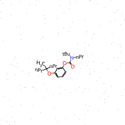 CCCN(C(=O)Oc1cccc(OC(C)(CCC)CCC)c1)C(C)(C)C